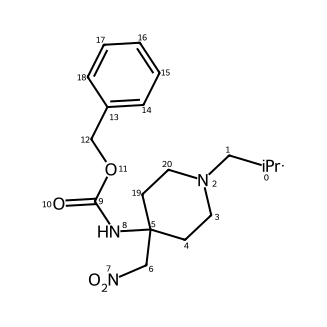 C[C](C)CN1CCC(C[N+](=O)[O-])(NC(=O)OCc2ccccc2)CC1